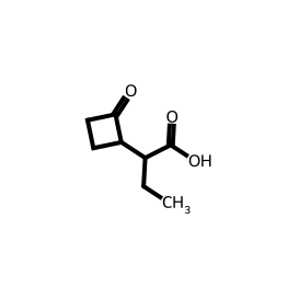 CCC(C(=O)O)C1CCC1=O